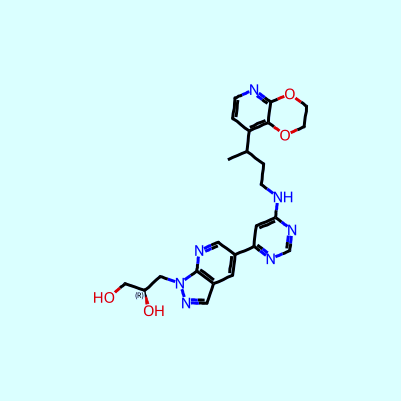 CC(CCNc1cc(-c2cnc3c(cnn3C[C@@H](O)CO)c2)ncn1)c1ccnc2c1OCCO2